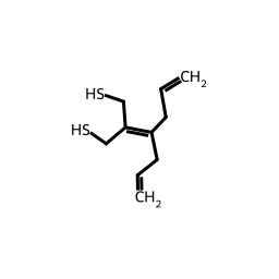 C=CCC(CC=C)=C(CS)CS